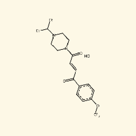 CCC(CC)N1CCN(C(=O)/C=C/C(=O)c2ccc(OC(F)(F)F)cc2)CC1.Cl